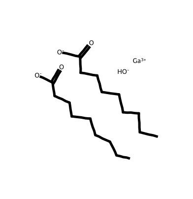 CCCCCCCCC(=O)[O-].CCCCCCCCC(=O)[O-].[Ga+3].[OH-]